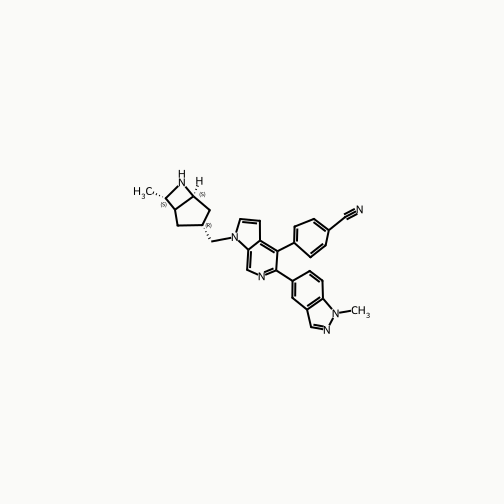 C[C@@H]1N[C@H]2C[C@H](Cn3ccc4c(-c5ccc(C#N)cc5)c(-c5ccc6c(cnn6C)c5)ncc43)CC12